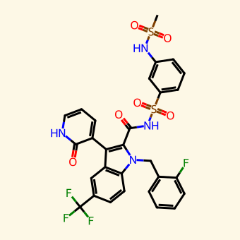 CS(=O)(=O)Nc1cccc(S(=O)(=O)NC(=O)c2c(-c3ccc[nH]c3=O)c3cc(C(F)(F)F)ccc3n2Cc2ccccc2F)c1